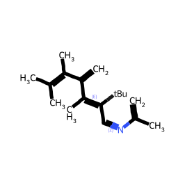 C=C(C)/N=C\C(=C(/C)C(=C)C(C)=C(C)C)C(C)(C)C